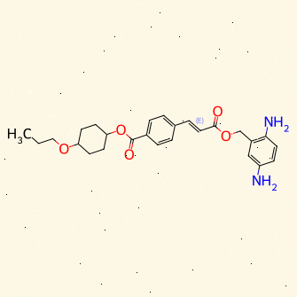 CCCOC1CCC(OC(=O)c2ccc(/C=C/C(=O)OCc3cc(N)ccc3N)cc2)CC1